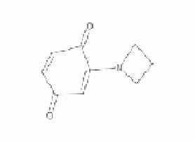 O=C1C=CC(=O)C(N2CCC2)=C1